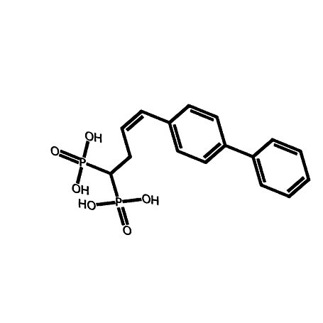 O=P(O)(O)C(C/C=C\c1ccc(-c2ccccc2)cc1)P(=O)(O)O